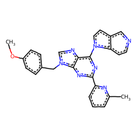 COc1ccc(Cn2cnc3c(-n4ccc5cnccc54)nc(-c4cccc(C)n4)nc32)cc1